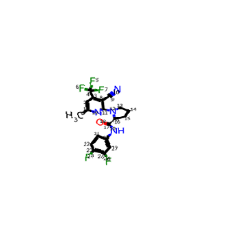 Cc1cc(C(F)(F)F)c(C#N)c(N2CCC[C@H]2C(=O)Nc2ccc(F)c(F)c2)n1